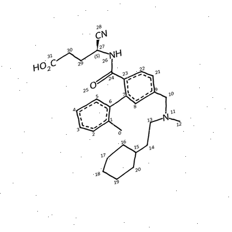 Cc1ccccc1-c1cc(CN(C)CCC2CCCCC2)ccc1C(=O)N[C@H](C#N)CCC(=O)O